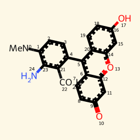 CNc1ccc(-c2c3ccc(=O)cc-3oc3cc(O)ccc23)c(C(=O)O)c1N